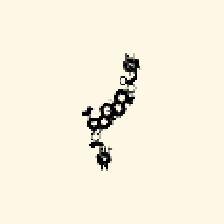 C=C(C[N+]12CCN(CC1)CC2)OC[C@]12CC[C@@H](C(=C)C)C1C1CCC3[C@@]4(C)CC[C@H](OC(=O)C[N+]56CCN(CC5)CC6)C(C)(C)C4CC[C@@]3(C)[C@]1(C)CC2